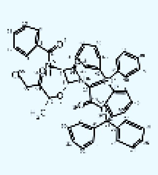 C[C@@H](O[C@@H]1[C@@H](NC(=O)c2ccccc2)C(=O)N1C(C(=O)OC(c1ccccc1)c1ccccc1)=P(c1ccccc1)(c1ccccc1)c1ccccc1)C(=O)CCl